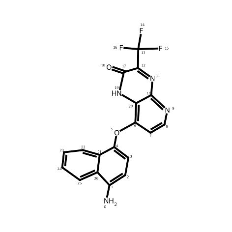 Nc1ccc(Oc2ccnc3nc(C(F)(F)F)c(=O)[nH]c23)c2ccccc12